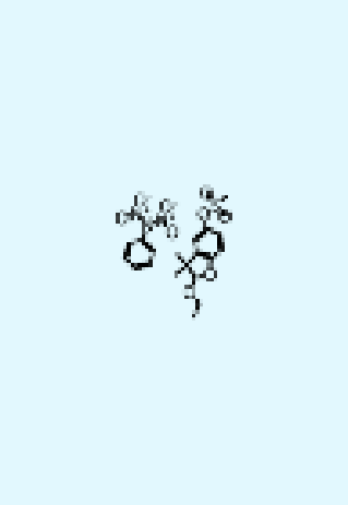 CCOC1Oc2ccc(OS(C)(=O)=O)cc2C1(C)C.O=[N+]([O-])N(c1ccccc1)[N+](=O)[O-]